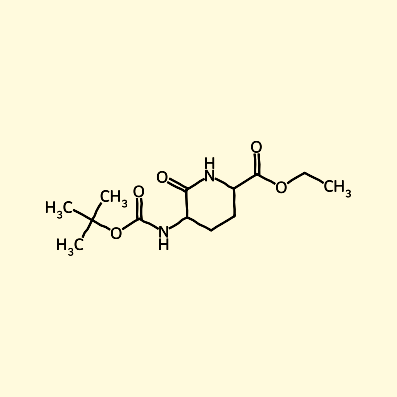 CCOC(=O)C1CCC(NC(=O)OC(C)(C)C)C(=O)N1